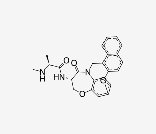 CN[C@@H](C)C(=O)N[C@H]1COc2ccccc2N(Cc2c(OC)ccc3ccccc23)C1=O